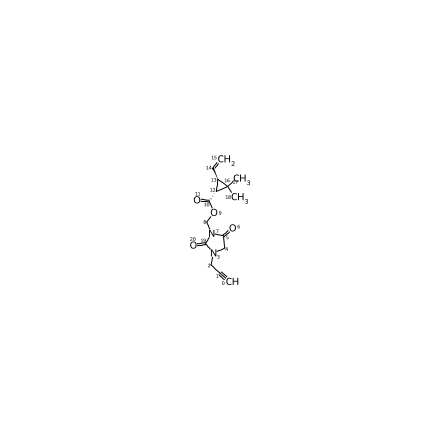 C#CCN1CC(=O)N(COC(=O)[C@@H]2[C@@H](C=C)C2(C)C)C1=O